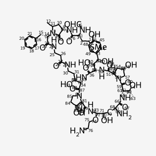 CSCC[C@H](NC=O)C(=O)N[C@H]1CC(C)N([C@@H](Cc2ccccc2)C(=O)NCCC(=O)NCC[C@@H](O)[C@@H]2NC(=O)[C@H]([C@H](O)[C@@H](O)c3ccc(O)cc3)NC(=O)[C@@H]3C[C@@H](O)CN3C(=O)[C@H]([C@@H](C)O)NC(=O)[C@@H](N)C[C@@H](O)[C@@H](OCCN)NC(=O)[C@@H]3[C@@H](O)CCN3C2=O)C1=O